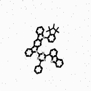 CC1C(C)(C)c2cccc(-n3c4ccccc4c4cc5c6ccccc6n(-c6nc(-c7ccccc7)nc(-c7cccc8c7oc7ccccc78)n6)c5cc43)c2C1(C)C